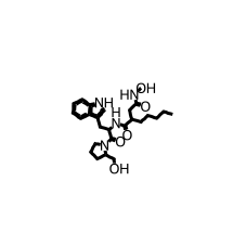 CCCCCC(CC(=O)NO)C(=O)NC(Cc1c[nH]c2ccccc12)C(=O)N1CCCC1CO